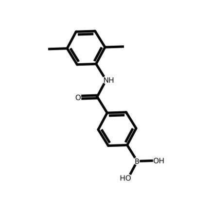 Cc1ccc(C)c(NC(=O)c2ccc(B(O)O)cc2)c1